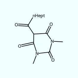 CCCCCCCC(=O)C1C(=O)N(C)C(=O)N(C)C1=O